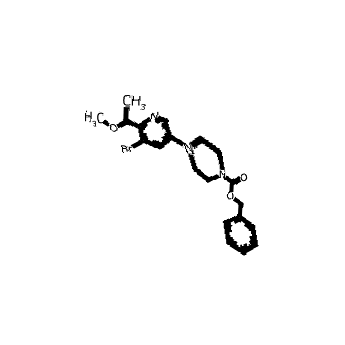 COC(C)c1ncc(N2CCN(C(=O)OCc3ccccc3)CC2)cc1Br